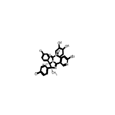 CCOc1cc(C(C)(C)C)ncc1C1=N[C@@](C)(c2ccc(Cl)cc2)[C@@](C)(c2ccc(Cl)cc2)N1C(=O)N1CCC(O)C(O)C1